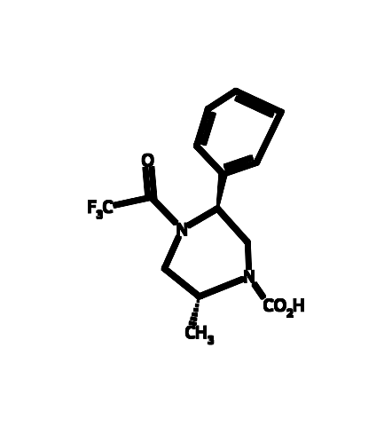 C[C@@H]1CN(C(=O)C(F)(F)F)[C@@H](c2ccccc2)CN1C(=O)O